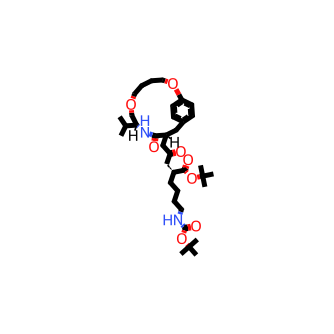 CC(C)[C@H]1COCCCCOc2ccc(cc2)C[C@@H](CC(=O)C[C@@H](CCCCNC(=O)OC(C)(C)C)C(=O)OC(C)(C)C)C(=O)N1